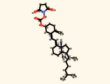 C=C1CC[C@H](OC(=O)ON2C(=O)CCC2=O)C/C1=C/C=C1\CCC[C@]2(C)C([C@H](C)CCCC(C)C)CC[C@@H]12